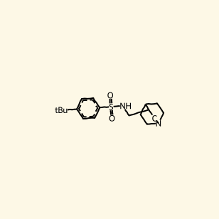 CC(C)(C)c1ccc(S(=O)(=O)NCC2CN3CCC2CC3)cc1